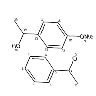 CC(Cl)c1ccccc1.COc1ccc(C(C)O)cc1